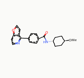 CO[C@H]1CC[C@H](NC(=O)c2ccc(-c3nccc4occc34)cc2)CC1